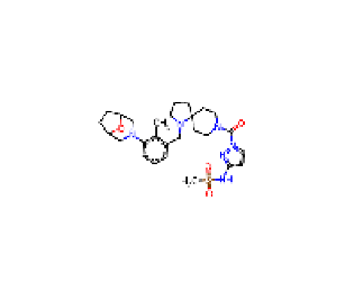 Cc1c(CN2CCCC23CCN(C(=O)n2ccc(NS(C)(=O)=O)n2)CC3)cccc1N1CC2CCC(C1)O2